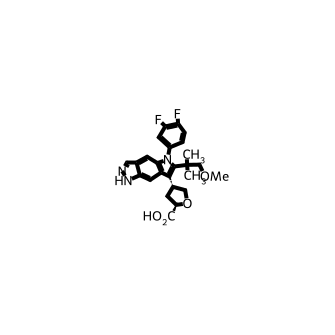 COCC(C)(C)c1c([C@@H]2CO[C@@H](C(=O)O)C2)c2cc3[nH]ncc3cc2n1-c1ccc(F)c(F)c1